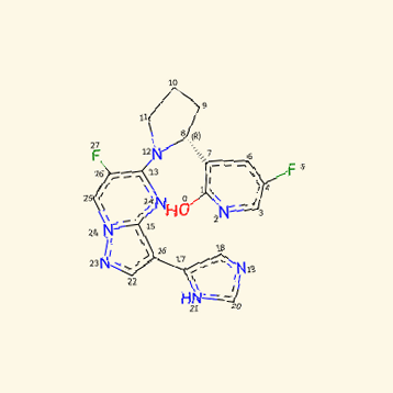 Oc1ncc(F)cc1[C@H]1CCCN1c1nc2c(-c3cnc[nH]3)cnn2cc1F